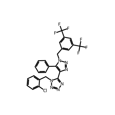 FC(F)(F)c1cc(Cn2nnc(-c3nnnn3Cc3ccccc3Cl)c2-c2ccccc2)cc(C(F)(F)F)c1